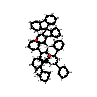 c1ccc(-c2nc(-c3ccccc3N(c3ccccc3-c3ccccc3)c3cccc4c3-c3ccccc3C43c4ccccc4-c4ccccc43)nc(-c3cccc4oc5ccccc5c34)n2)cc1